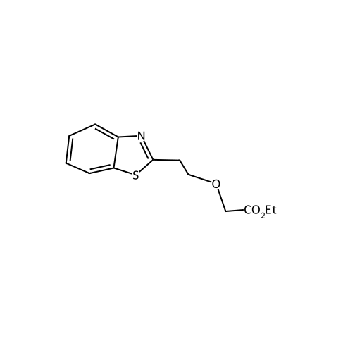 CCOC(=O)COCCc1nc2ccccc2s1